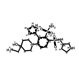 NCC1(O)CCN(c2ccc(S(=O)(=O)N[C@@H]3CCNC3)c(S(N)(=O)=O)c2-c2nnn[nH]2)CC1